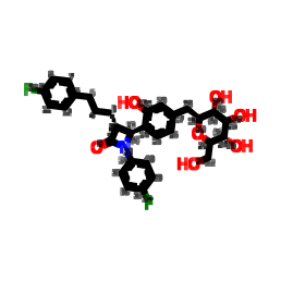 O=C1[C@H](CCCc2ccc(F)cc2)[C@@H](c2ccc(C[C@@H]3OC(CO)[C@@H](O)C(O)[C@@H]3O)cc2O)N1c1ccc(F)cc1